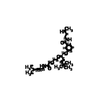 CNCCNC(=O)c1cccc(OC[C@@H](OCCOCC(=O)NCC#CC(C)C)SSC(C)(C)C)c1